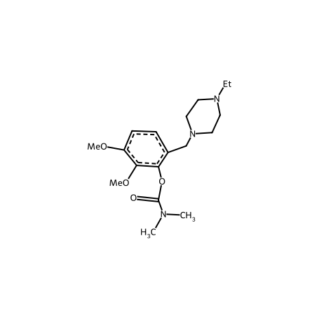 CCN1CCN(Cc2ccc(OC)c(OC)c2OC(=O)N(C)C)CC1